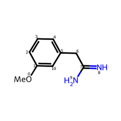 COc1cccc(CC(=N)N)c1